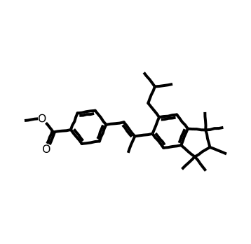 COC(=O)c1ccc(C=C(C)c2cc3c(cc2CC(C)C)C(C)(C)C(C)C3(C)C)cc1